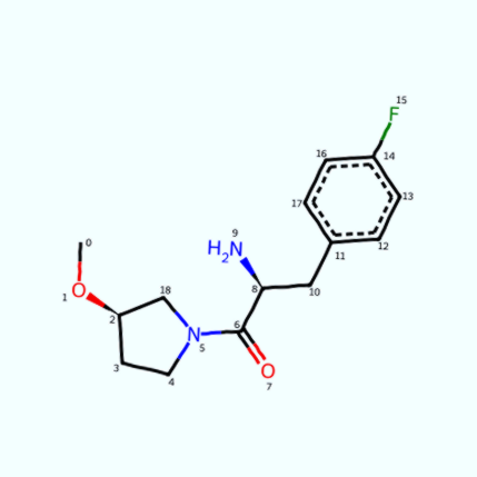 CO[C@@H]1CCN(C(=O)[C@@H](N)Cc2ccc(F)cc2)C1